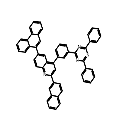 c1ccc(-c2nc(-c3ccccc3)nc(-c3cccc(-c4cc(-c5ccc6ccccc6c5)nc5ccc(-c6cc7ccccc7c7ccccc67)cc45)c3)n2)cc1